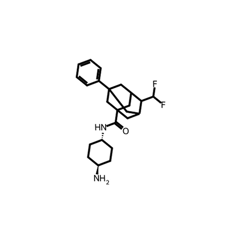 N[C@H]1CC[C@H](NC(=O)C23CC4CC(c5ccccc5)(CC(C2)C4C(F)F)C3)CC1